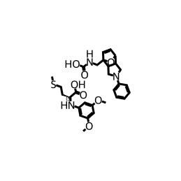 COc1cc(N[C@@H](CCSC)C(=O)O)cc(OC)c1.O=C(O)NCC12C=CC(O1)C1CN(c3ccccc3)CC12